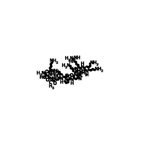 CC(NC(=O)[C@@H](NC(=O)C(N)CCCCN)[C@@H](O)CN)C(=O)NCC(=O)N[C@H](CCCN)C(=O)N1CCCC1C(=O)NC(Cc1cn(C)cn1)C(=O)N[C@@H](CCCCN)C(=O)N/C(=C\CCNC(=N)N)C(=O)N[C@@H](CCCCN)C(=O)NCCCCN